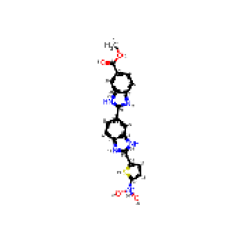 COC(=O)c1ccc2nc(-c3ccc4nc(-c5ccc([N+](=O)[O-])s5)[nH]c4c3)[nH]c2c1